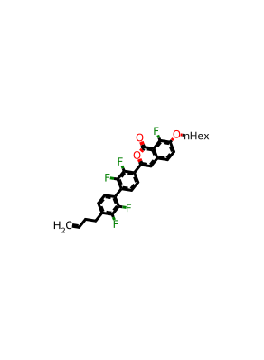 C=CCCc1ccc(-c2ccc(-c3cc4ccc(OCCCCCC)c(F)c4c(=O)o3)c(F)c2F)c(F)c1F